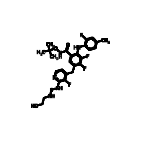 Cc1ccc(Nc2c(C(=O)NOC(C)(C)C)cc(Cc3ccnc(NSNCCO)c3F)c(F)c2F)c(F)c1